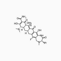 CC(C)[C@@H]1C(=O)Nc2c(O)c3c(c(F)c2CN1C)C[C@H]1C[C@H]2[C@H](N(C)C)C(O)=C(C(N)=O)C(=O)[C@@]2(O)C(O)=C1C3=O